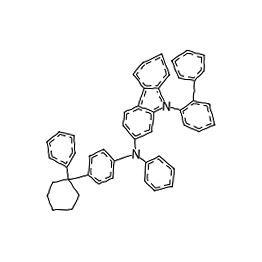 c1ccc(-c2ccccc2-n2c3ccccc3c3ccc(N(c4ccccc4)c4ccc(C5(c6ccccc6)CCCCC5)cc4)cc32)cc1